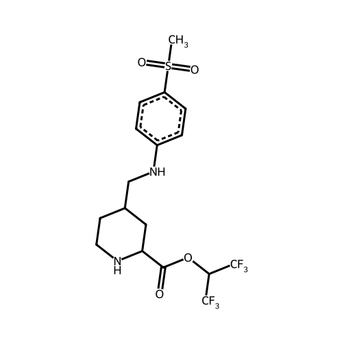 CS(=O)(=O)c1ccc(NCC2CCNC(C(=O)OC(C(F)(F)F)C(F)(F)F)C2)cc1